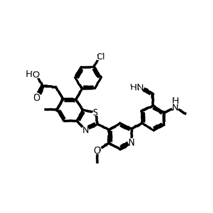 CNc1ccc(-c2cc(-c3nc4cc(C)c(CC(=O)O)c(-c5ccc(Cl)cc5)c4s3)c(OC)cn2)cc1C=N